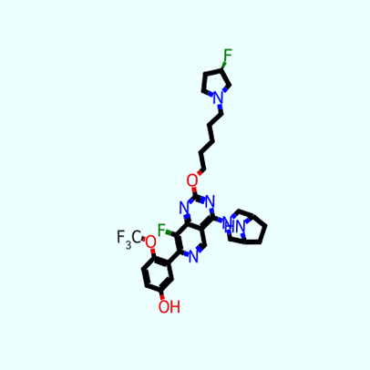 Oc1ccc(OC(F)(F)F)c(-c2ncc3c(N4CC5CCC(C4)N5)nc(OCCCCCN4CC[C@@H](F)C4)nc3c2F)c1